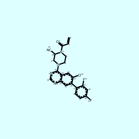 C=CC(=O)N1CCN(c2ncnc3cc(-c4ccc(F)cc4F)c(Cl)cc23)CC1C#N